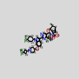 CC1CC2CC(C1)C(NC(=O)c1cnc(-c3cn(C4CCC(F)(F)CC4)c4cc(OC5CCN(C6CC(F)(F)C6)CC5)ccc34)nc1C(F)(F)F)(C(=O)O)C2